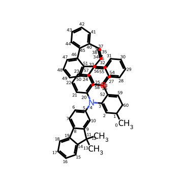 CC1C=C(N(c2ccc3c(c2)C(C)(C)c2ccccc2-3)c2cccc3c2Oc2ccccc2C32c3ccccc3-c3ccccc3-c3ccccc32)C(c2ccccc2)=CC1